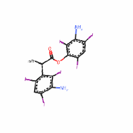 CCCC(C(=O)Oc1c(I)cc(I)c(N)c1I)c1c(I)cc(I)c(N)c1I